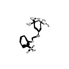 CC1(C)CC(NCOc2ccccc2S(=O)(=O)O)CC(C)(C)N1